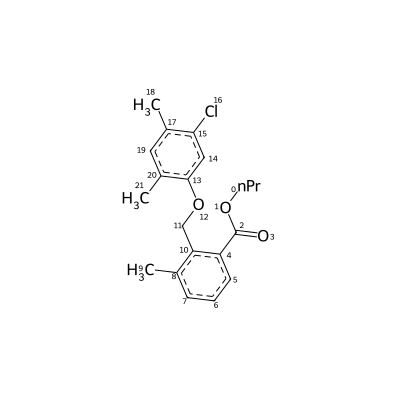 CCCOC(=O)c1cccc(C)c1COc1cc(Cl)c(C)cc1C